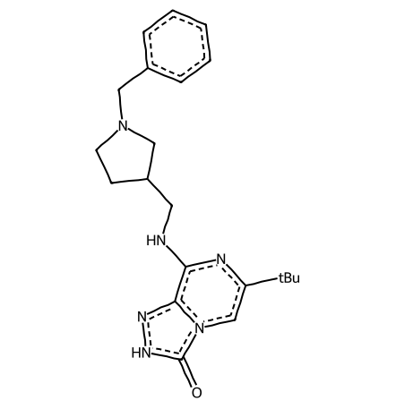 CC(C)(C)c1cn2c(=O)[nH]nc2c(NCC2CCN(Cc3ccccc3)C2)n1